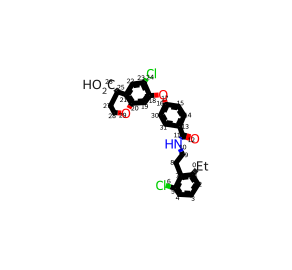 CCc1cccc(Cl)c1CCNC(=O)c1ccc(Oc2cc3c(cc2Cl)C(C(=O)O)CCO3)cc1